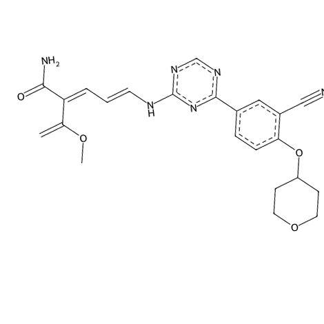 C=C(OC)/C(=C\C=C\Nc1ncnc(-c2ccc(OC3CCOCC3)c(C#N)c2)n1)C(N)=O